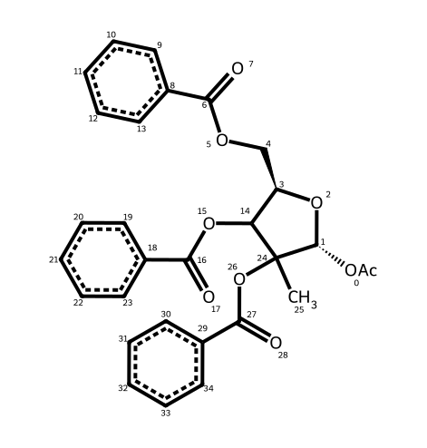 CC(=O)O[C@H]1O[C@H](COC(=O)c2ccccc2)C(OC(=O)c2ccccc2)C1(C)OC(=O)c1ccccc1